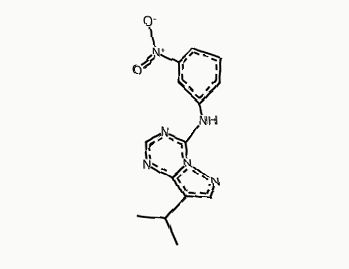 CC(C)c1cnn2c(Nc3cccc([N+](=O)[O-])c3)ncnc12